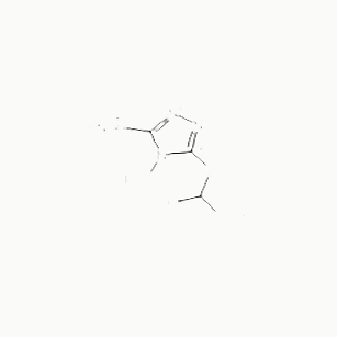 CCCCCCCCCCC(C)Sc1nnc(CCCCCCCCC)n1C